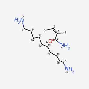 CC=C(C)C(N)=O.NCCCCCCCCCCN